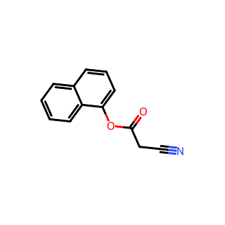 N#CCC(=O)Oc1cccc2ccccc12